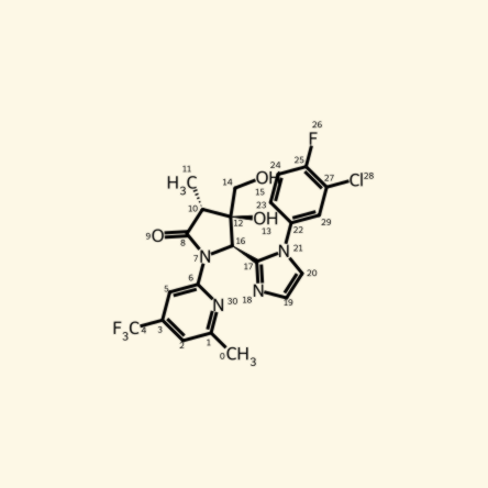 Cc1cc(C(F)(F)F)cc(N2C(=O)[C@H](C)[C@](O)(CO)[C@H]2c2nccn2-c2ccc(F)c(Cl)c2)n1